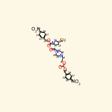 O=C(OCCN1CCN(C(=O)[C@H]2C[C@@H](S)CN2C(=O)OCc2ccc([N+](=O)[O-])cc2)CC1)OCc1ccc([N+](=O)[O-])cc1